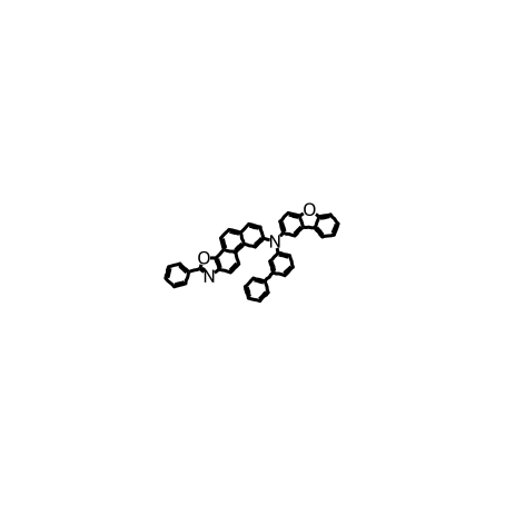 c1ccc(-c2cccc(N(c3ccc4ccc5c(ccc6nc(-c7ccccc7)oc65)c4c3)c3ccc4oc5ccccc5c4c3)c2)cc1